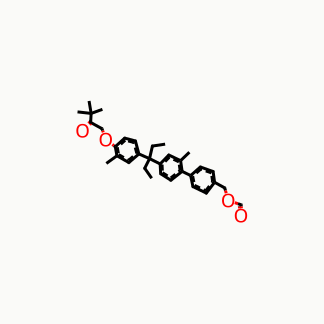 CCC(CC)(c1ccc(OCC(=O)C(C)(C)C)c(C)c1)c1ccc(-c2ccc(COC=O)cc2)c(C)c1